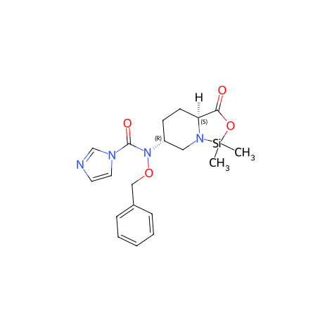 C[Si]1(C)OC(=O)[C@@H]2CC[C@@H](N(OCc3ccccc3)C(=O)n3ccnc3)CN21